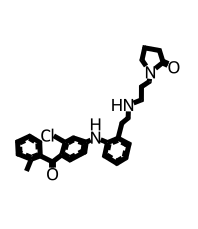 Cc1ccccc1C(=O)c1ccc(Nc2ccccc2CCNCCCN2CCCC2=O)cc1Cl